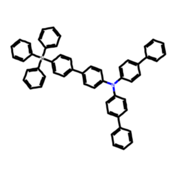 c1ccc(-c2ccc(N(c3ccc(-c4ccccc4)cc3)c3ccc(-c4ccc([Si](c5ccccc5)(c5ccccc5)c5ccccc5)cc4)cc3)cc2)cc1